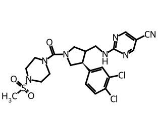 CS(=O)(=O)N1CCN(C(=O)N2CC(CNc3ncc(C#N)cn3)[C@@H](c3ccc(Cl)c(Cl)c3)C2)CC1